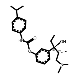 CC[C@@](O)(c1cccc(OC(=O)Nc2ccc(C(C)C)cc2)c1)[C@H](C)CN(C)C